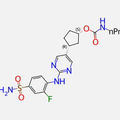 CCCNC(=O)O[C@H]1CC[C@@H](c2cnc(Nc3ccc(S(N)(=O)=O)cc3F)nc2)C1